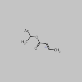 C/C=C/C(=O)OC(C)C(C)=O